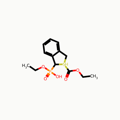 CCOC(=O)[SH]1Cc2ccccc2C1P(=O)(O)OCC